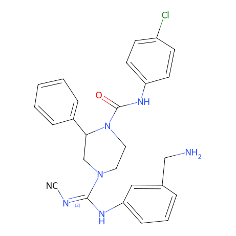 N#C/N=C(/Nc1cccc(CN)c1)N1CCN(C(=O)Nc2ccc(Cl)cc2)C(c2ccccc2)C1